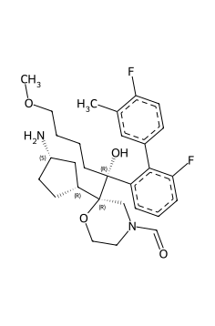 COCCCC[C@@](O)(c1cccc(F)c1-c1ccc(F)c(C)c1)[C@@]1([C@@H]2CC[C@H](N)C2)CN(C=O)CCO1